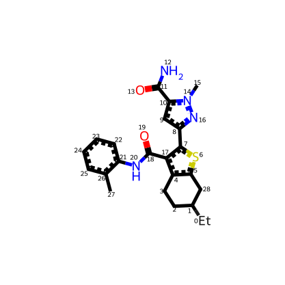 CCC1CCc2c(sc(-c3cc(C(N)=O)n(C)n3)c2C(=O)Nc2ccccc2C)C1